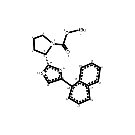 CC(C)(C)OC(=O)N1CCC[C@H]1c1nc(-c2cccc3ccccc23)cs1